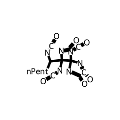 CCCCCC(N=C=O)C(N=C=O)(N=C=O)C(N=C=O)(N=C=O)N=C=O